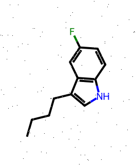 CCC[CH]c1c[nH]c2ccc(F)cc12